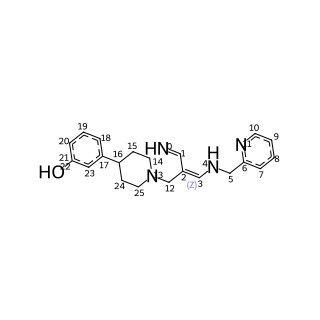 N=C/C(=C\NCc1ccccn1)CN1CCC(c2cccc(O)c2)CC1